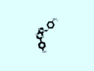 N[C@H]1CC[C@H](Cn2cnc3ncc(-c4ccc(O)cc4)nc32)CC1